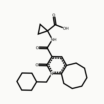 O=C(NC1(C(=O)O)CC1)c1cc2c(n(CC3CCCCC3)c1=O)CCCCCC2